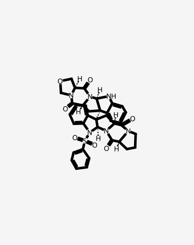 O=C1[C@@H]2C[C@]3(C45C[C@H]6C(=O)N7CCC[C@H]7C(=O)N6[C@H]4N(S(=O)(=O)c4ccccc4)c4ccccc45)c4ccccc4N[C@@H]3N2C(=O)[C@@H]2COCN12